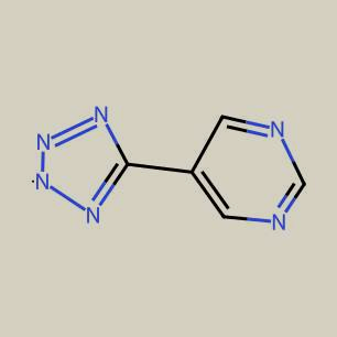 c1ncc(C2=N[N]N=N2)cn1